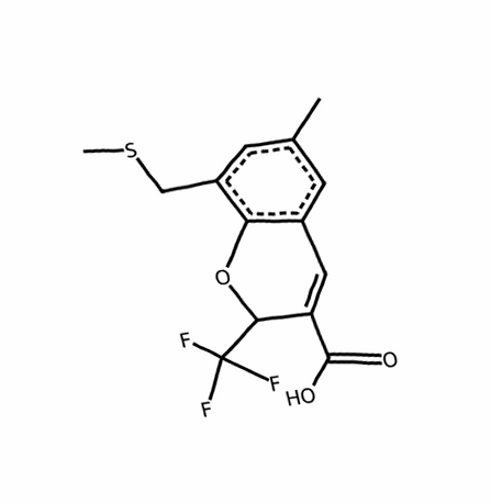 CSCc1cc(C)cc2c1OC(C(F)(F)F)C(C(=O)O)=C2